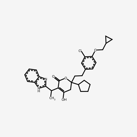 CC(C1=C(O)CC(CCc2ccc(OCC3CC3)c(Cl)c2)(C2CCCC2)OC1=O)c1nc2ccccc2[nH]1